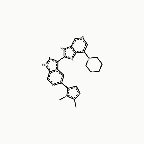 Cc1ncc(-c2cc3c(-c4nc5c(N6CCCCC6)cncc5[nH]4)n[nH]c3cn2)n1C